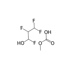 COC(=O)O.OC(F)C(F)C(F)F